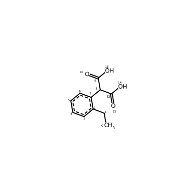 CCc1ccccc1C(C(=O)O)C(=O)O